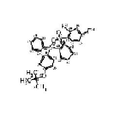 CC(C)(C)Oc1ccc(S(OS(=O)(=O)c2ccc(F)cc2F)(c2ccccc2)c2ccccc2)cc1